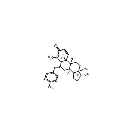 Cc1ncc(C=C2C[C@@H]3[C@@H](CC[C@]4(C)C(O)CC[C@@H]34)[C@@]3(C)C=CC(=O)N(C)C23)cn1